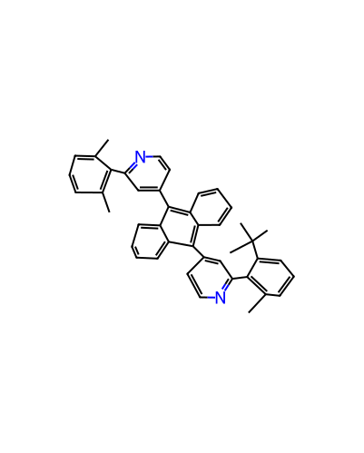 Cc1cccc(C)c1-c1cc(-c2c3ccccc3c(-c3ccnc(-c4c(C)cccc4C(C)(C)C)c3)c3ccccc23)ccn1